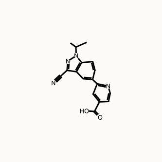 CC(C)n1nc(C#N)c2cc(-c3cc(C(=O)O)ccn3)ccc21